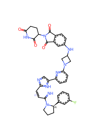 N=C(/C=C\c1ncc(-c2cccc(N3CC(Nc4ccc5c(c4)C(=O)N(C4CCC(=O)NC4=O)C5=O)C3)n2)[nH]1)N1CCC[C@@H]1c1cccc(F)c1